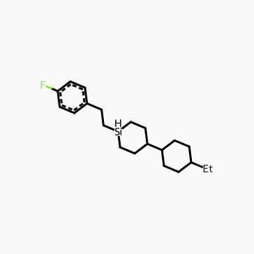 CCC1CCC(C2CC[SiH](CCc3ccc(F)cc3)CC2)CC1